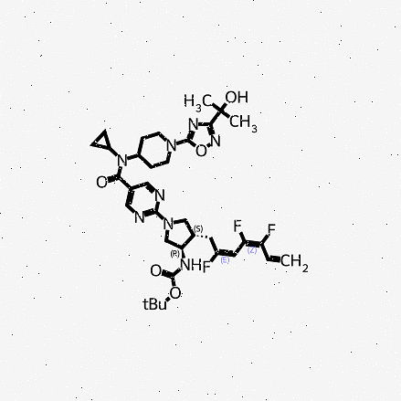 C=C/C(F)=C(F)\C=C(\F)C[C@H]1CN(c2ncc(C(=O)N(C3CC3)C3CCN(c4nc(C(C)(C)O)no4)CC3)cn2)C[C@@H]1NC(=O)OC(C)(C)C